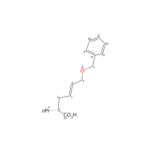 CCC[C@H](C/C=C/COCc1ccccc1)C(=O)O